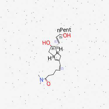 CCCCC[C@H](O)/C=C/[C@@H]1[C@H]2CC(/C=C\CCCC(=O)N(C)C)=C[C@H]2C[C@H]1O